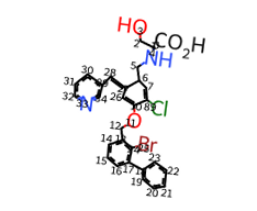 O=C(O)[C@H](CO)NCC1C=C(Cl)C(OCc2cccc(-c3ccccc3)c2Br)=CC1=Cc1cccnc1